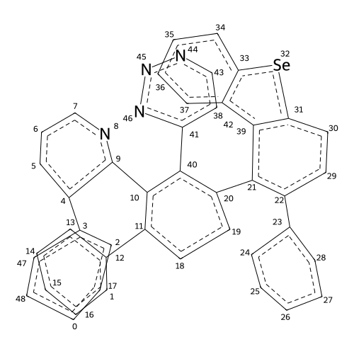 c1ccc(-c2cccnc2-c2c(-c3ccccc3)ccc(-c3c(-c4ccccc4)ccc4[se]c5ccccc5c34)c2-c2ccnnn2)cc1